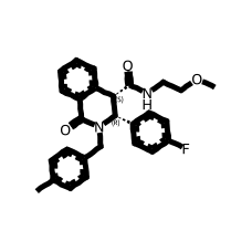 COCCNC(=O)[C@H]1c2ccccc2C(=O)N(Cc2ccc(C)cc2)[C@H]1c1ccc(F)cc1